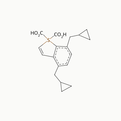 O=C(O)S1(C(=O)O)C=Cc2c(CC3CC3)ccc(CC3CC3)c21